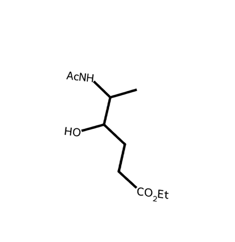 CCOC(=O)CCC(O)C(C)NC(C)=O